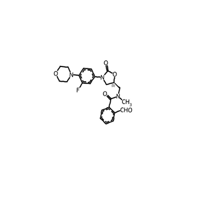 CN(C[C@H]1CN(c2ccc(N3CCOCC3)c(F)c2)C(=O)O1)C(=O)c1ccccc1C=O